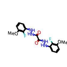 COc1cccc(NNC(=O)C(=O)NNc2cccc(OC)c2F)c1F